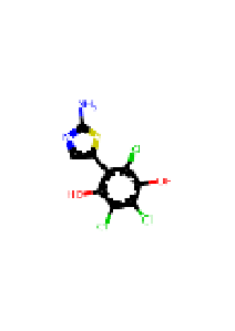 Nc1ncc(-c2c(O)c(Cl)c(Cl)c(O)c2Cl)s1